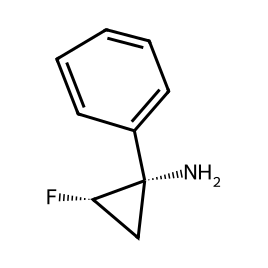 N[C@]1(c2ccccc2)C[C@@H]1F